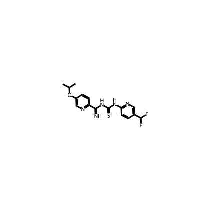 CC(C)Oc1ccc(C(=N)NC(=S)Nc2[c]cc(C(F)F)cn2)nc1